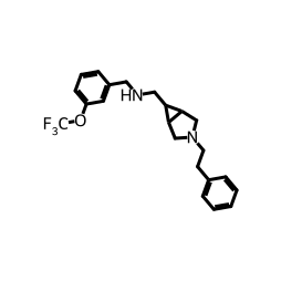 FC(F)(F)Oc1cccc(CNCC2C3CN(CCc4ccccc4)CC23)c1